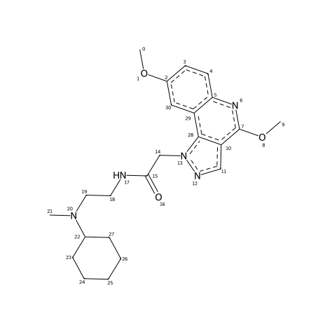 COc1ccc2nc(OC)c3cnn(CC(=O)NCCN(C)C4CCCCC4)c3c2c1